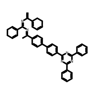 C=C(/N=C(\N=C(/C)c1ccc(-c2ccc(-c3nc(-c4ccccc4)nc(-c4ccccc4)n3)cc2)cc1)C1=CCCC=C1)C1=CC=CCC1